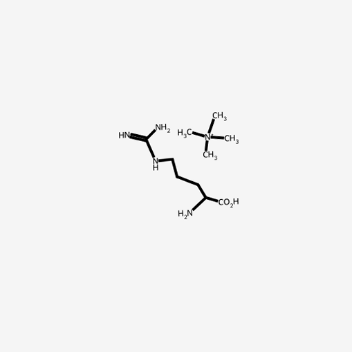 C[N+](C)(C)C.N=C(N)NCCCC(N)C(=O)O